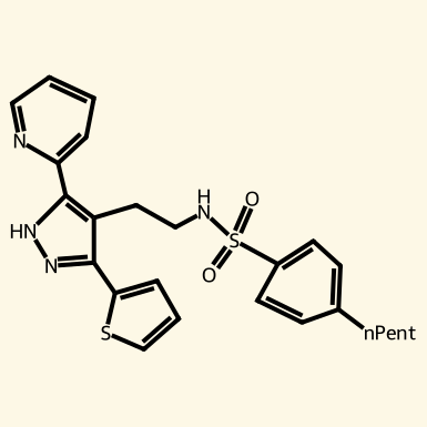 CCCCCc1ccc(S(=O)(=O)NCCc2c(-c3cccs3)n[nH]c2-c2ccccn2)cc1